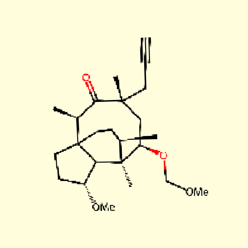 C#CC[C@]1(C)C[C@@H](OCOC)[C@@]2(C)C3[C@H](OC)CCC3(CC[C@H]2C)[C@@H](C)C1=O